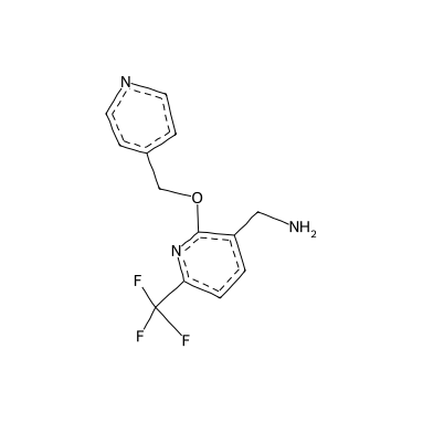 NCc1ccc(C(F)(F)F)nc1OCc1ccncc1